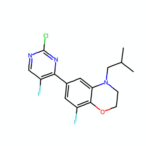 CC(C)CN1CCOc2c(F)cc(-c3nc(Cl)ncc3F)cc21